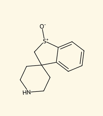 [O-][S+]1CC2(CCNCC2)c2ccccc21